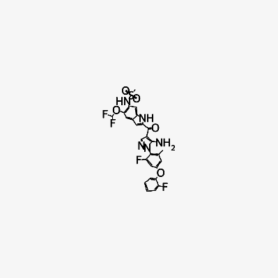 Cc1cc(Oc2ccccc2F)cc(F)c1-n1ncc(C(=O)c2cc3cc(OC(F)F)c(NS(C)(=O)=O)cc3[nH]2)c1N